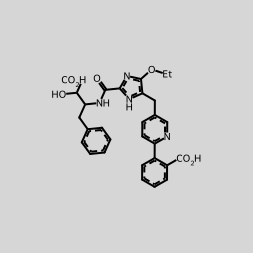 CCOc1nc(C(=O)NC(Cc2ccccc2)C(O)C(=O)O)[nH]c1Cc1ccc(-c2ccccc2C(=O)O)nc1